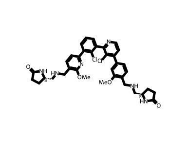 COc1cc(-c2ccnc(-c3cccc(-c4ccc(CNC[C@@H]5CCC(=O)N5)c(OC)n4)c3Cl)c2Cl)ccc1CNC[C@H]1CCC(=O)N1